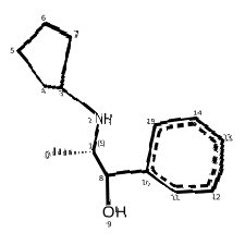 C[C@H](NC1CCCC1)C(O)c1ccccc1